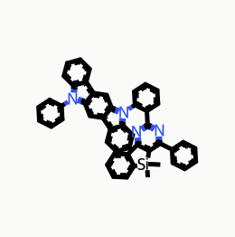 C[Si]1(C)c2ccccc2-c2nc(-c3ccccc3-n3c4ccccc4c4cc5c(cc43)c3ccccc3n5-c3ccccc3)nc(-c3ccccc3)c21